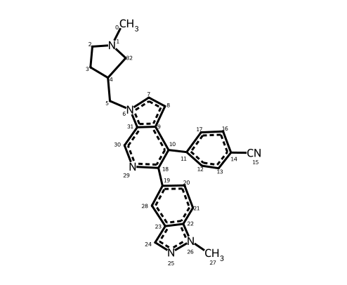 CN1CCC(Cn2ccc3c(-c4ccc(C#N)cc4)c(-c4ccc5c(cnn5C)c4)ncc32)C1